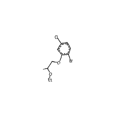 CCOC(C)COc1cc(Cl)ccc1Br